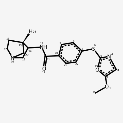 COc1cnc(Sc2ccc(C(=O)NC3CN4CC[C@H]3C4)cc2)o1